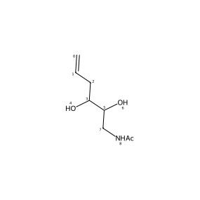 C=CCC(O)C(O)CNC(C)=O